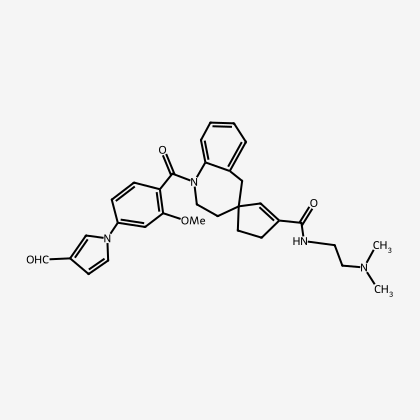 COc1cc(-n2ccc(C=O)c2)ccc1C(=O)N1CCC2(C=C(C(=O)NCCN(C)C)CC2)Cc2ccccc21